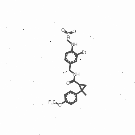 CCc1cc([C@@H](C)NC(=O)C2CC2(C)c2ccc(OC(F)(F)F)cc2)ccc1NC[SH](=O)=O